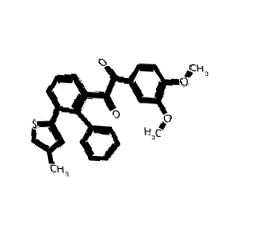 COc1ccc(C(=O)C(=O)c2cccc(-c3cc(C)cs3)c2-c2ccccc2)cc1OC